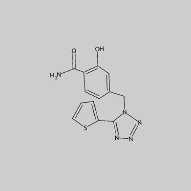 NC(=O)c1ccc(Cn2nnnc2-c2cccs2)cc1O